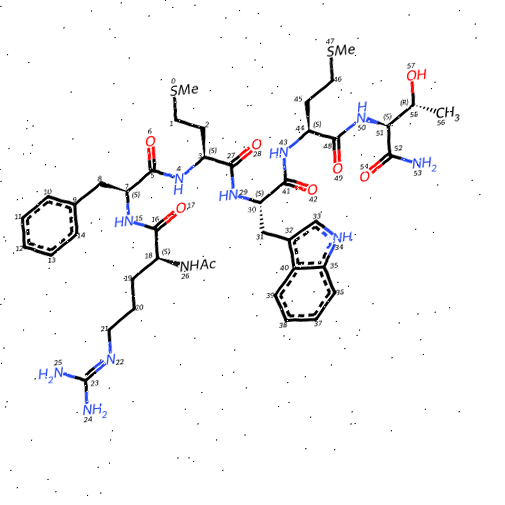 CSCC[C@H](NC(=O)[C@H](Cc1ccccc1)NC(=O)[C@H](CCCN=C(N)N)NC(C)=O)C(=O)N[C@@H](Cc1c[nH]c2ccccc12)C(=O)N[C@@H](CCSC)C(=O)N[C@H](C(N)=O)[C@@H](C)O